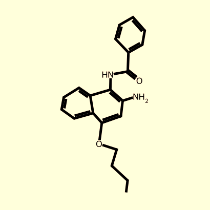 CCCCOc1cc(N)c(NC(=O)c2ccccc2)c2ccccc12